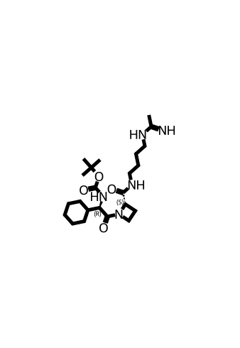 CC(=N)NCCCCNC(=O)[C@@H]1CCN1C(=O)[C@H](NC(=O)OC(C)(C)C)C1CCCCC1